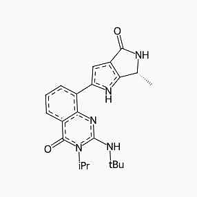 CC(C)n1c(NC(C)(C)C)nc2c(-c3cc4c([nH]3)[C@@H](C)NC4=O)cccc2c1=O